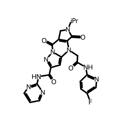 CC(C)N1Cc2c(n(CC(=O)Nc3ccc(F)cn3)c3cc(C(=O)Nc4ncccn4)nn3c2=O)C1=O